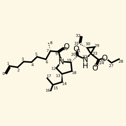 C=CCCCCC[C@H](C)C(=O)N1C[C@H](CC(C)C)C[C@H]1C(=O)N[C@]1(C(=O)OCC)C[C@H]1C=C